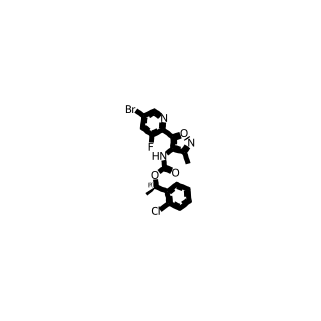 Cc1noc(-c2ncc(Br)cc2F)c1NC(=O)O[C@H](C)c1ccccc1Cl